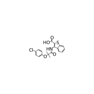 CC(C)(Oc1ccc(Cl)cc1)C(=O)Nc1c(C(=O)O)sc2ccccc12